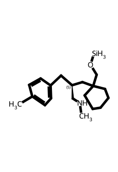 CNC[C@@H](Cc1ccc(C)cc1)CC1(CO[SiH3])CCCCC1